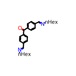 CCCCCCN=Cc1ccc(C(=O)c2ccc(C=NCCCCCC)cc2)cc1